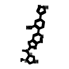 CN(c1nc2nnc(-c3ccc(-c4cn[nH]c4)cc3O)cc2s1)[C@H]1CNC[C@@H]1F